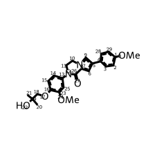 COc1ccc(-c2cc3n(c2)CCN(c2ccc(OCC(C)(C)O)c(OC)c2)C3=O)cc1